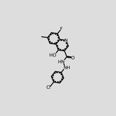 Cc1cc(F)c2ncc(C(=O)NNc3ccc(Cl)cc3)c(O)c2c1